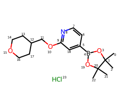 CC1(C)OB(c2ccnc(OCC3CCOCC3)c2)OC1(C)C.Cl